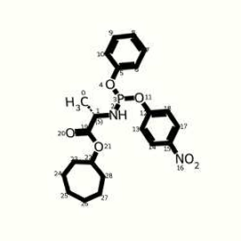 C[C@H](NP(Oc1ccccc1)Oc1ccc([N+](=O)[O-])cc1)C(=O)OC1CCCCCC1